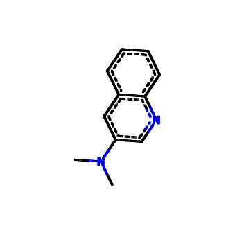 CN(C)c1cnc2ccccc2c1